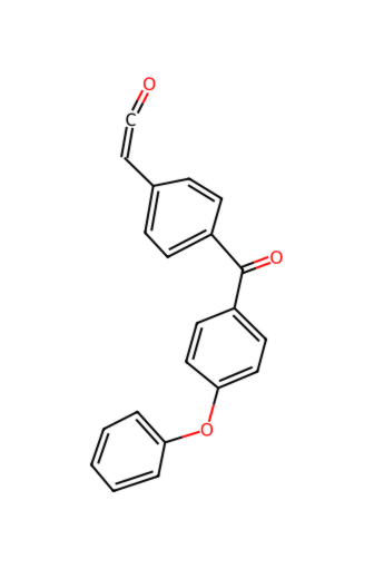 O=C=Cc1ccc(C(=O)c2ccc(Oc3ccccc3)cc2)cc1